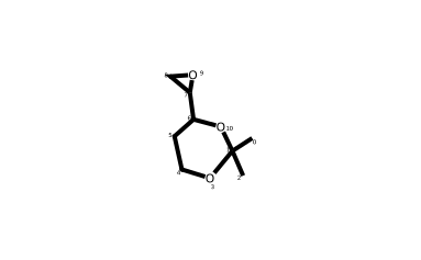 CC1(C)OCCC(C2CO2)O1